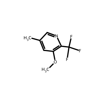 COc1cc(C)cnc1C(F)(F)F